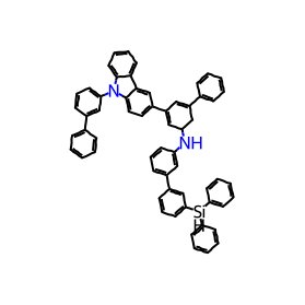 C1=C(c2ccc3c(c2)c2ccccc2n3-c2cccc(-c3ccccc3)c2)C=C(c2ccccc2)CC1Nc1cccc(-c2cccc([SiH](c3ccccc3)c3ccccc3)c2)c1